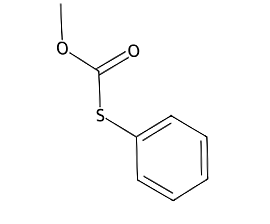 COC(=O)Sc1ccccc1